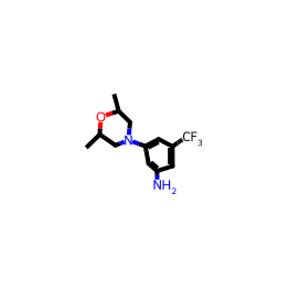 CC1CN(c2cc(N)cc(C(F)(F)F)c2)CC(C)O1